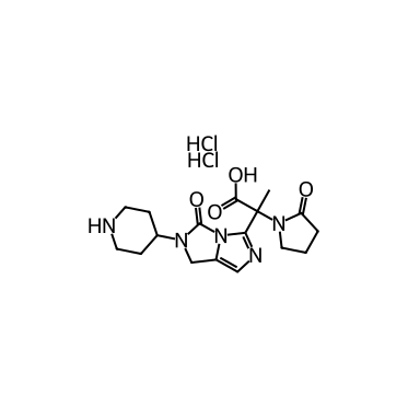 CC(C(=O)O)(c1ncc2n1C(=O)N(C1CCNCC1)C2)N1CCCC1=O.Cl.Cl